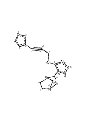 C(#Cc1ccoc1)COc1nsnc1C1CN2CCC1C2